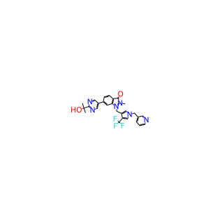 Cn1c(=O)c2ccc(-c3cnc(C(C)(C)O)nc3)cc2n1Cc1cn(Cc2cccnc2)cc1C(F)(F)F